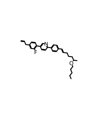 C=CCc1ccc(-c2ccc(-c3ccc(C=CCCCC(C)OCCCCC)cc3)nc2)c(F)c1